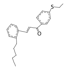 CCCCCc1ccccc1C=CC(=O)c1ccc(SCC)cc1